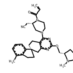 C=CC(=O)N1CCN(c2nc(OC[C@@H]3CCCN3C)nc3c2CC[C@@]2(CCc4c(C)cccc42)C3)C[C@@H]1CC#N